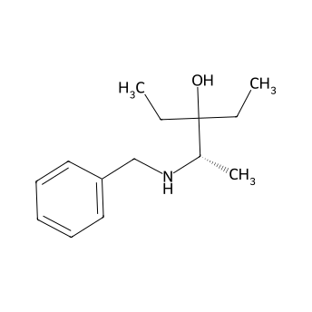 CCC(O)(CC)[C@H](C)NCc1ccccc1